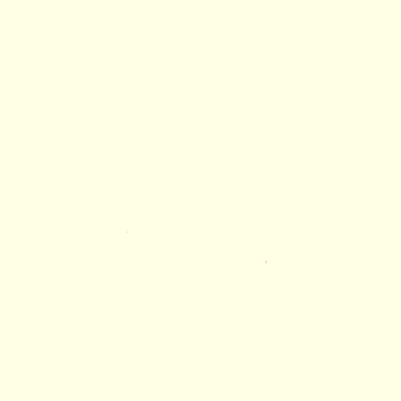 C=C1CCCC2(C)Cc3occ(C)c3CC12